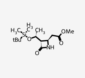 COC(=O)C[C@H]1NC(=O)[C@@H]1[C@@H](C)O[Si](C)(C)C(C)(C)C